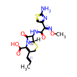 C/C=C/C1=C(C(=O)O)N2C(=O)C(NC(=O)/C(=N\OC)c3csc(N)n3)[C@@H]2SC1